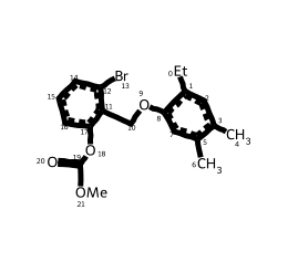 CCc1cc(C)c(C)cc1OCc1c(Br)cccc1OC(=O)OC